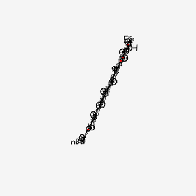 CCCCOC(=O)CCCCCOC(=O)CCCCCOC(=O)CCCCCOC(=O)CCCCCOC(=O)CCCCCOC(=O)CCCCCOC(=O)CCCCCOC(=O)/C=C/C(=O)OCC(O)COC(=O)C(C)(C)CC